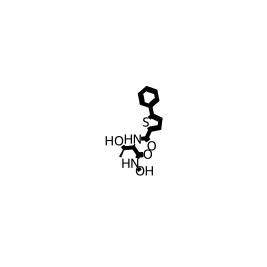 C[C@@H](O)[C@H](NC(=O)c1ccc(-c2ccccc2)s1)C(=O)NO